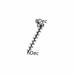 CCCCCCCCCCCCCCCCCCCCCCCCCCC(=O)OCCCCCCCCCCCC